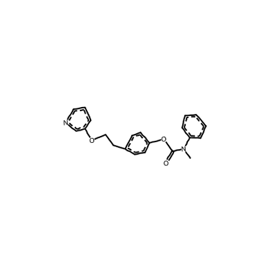 CN(C(=O)Oc1ccc(CCOc2cccnc2)cc1)c1ccccc1